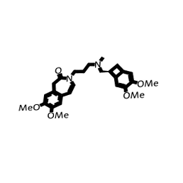 COC1=CC2C[C@H](CN(C)CCCN3C=Cc4cc(OC)c(OC)cc4CC3=O)C2C=C1OC